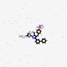 NS(=O)(=O)c1ccc(Cc2c(-c3cccc(-c4ccccc4)c3)nn(-c3nc(C(=O)O)cs3)c2CC(F)(F)F)cc1